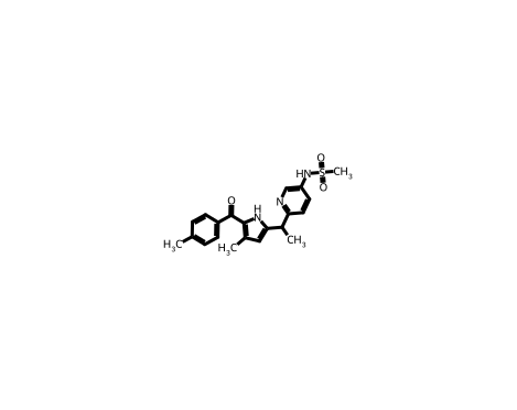 Cc1ccc(C(=O)c2[nH]c(C(C)c3ccc(NS(C)(=O)=O)cn3)cc2C)cc1